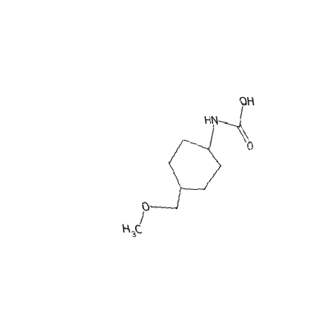 COCC1CCC(NC(=O)O)CC1